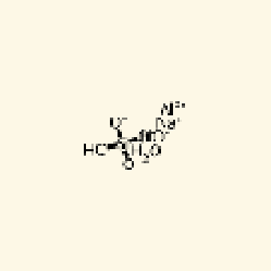 O.[Al+3].[Na+].[O-][Si]([O-])([O-])O.[OH-]